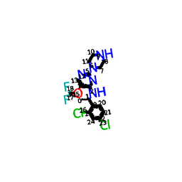 C[C@@H](Nc1nc(N2CCNCC2)ncc1OC(F)F)c1ccc(Cl)cc1Cl